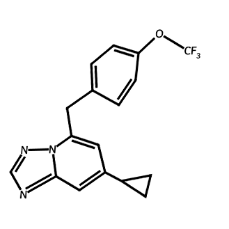 FC(F)(F)Oc1ccc(Cc2cc(C3CC3)cc3ncnn23)cc1